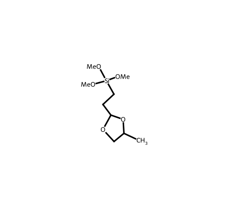 CO[Si](CCC1OCC(C)O1)(OC)OC